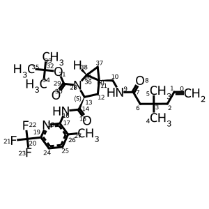 C=CCC(C)(C)CC(=O)NC[C@@]12C[C@@H](C(=O)Nc3nc(C(F)(F)F)ccc3C)N(C(=O)OC(C)(C)C)[C@@H]1C2